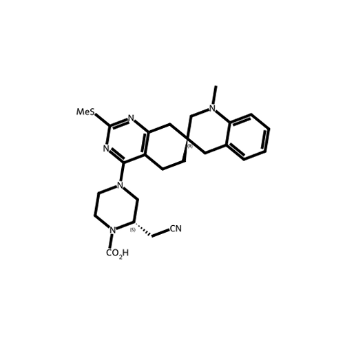 CSc1nc2c(c(N3CCN(C(=O)O)[C@@H](CC#N)C3)n1)CC[C@@]1(Cc3ccccc3N(C)C1)C2